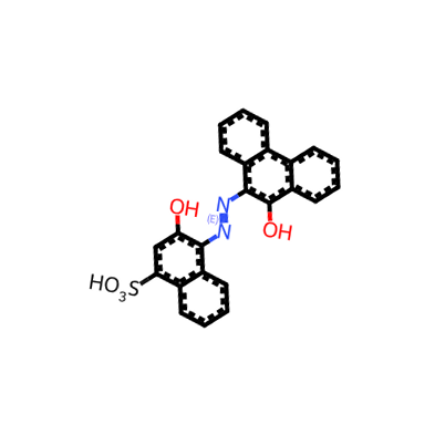 O=S(=O)(O)c1cc(O)c(/N=N/c2c(O)c3ccccc3c3ccccc23)c2ccccc12